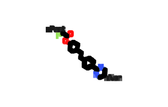 CCCCCCCCCc1cnc(-c2ccc(CCC3CCC(OC(=O)C(F)CCCCC)CC3)cc2)nc1